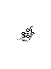 COc1cc(N(C)CCN(C)C)c(Nc2ccccn2)cc1Nc1nccc(-c2cn(C)c3ccccc23)n1